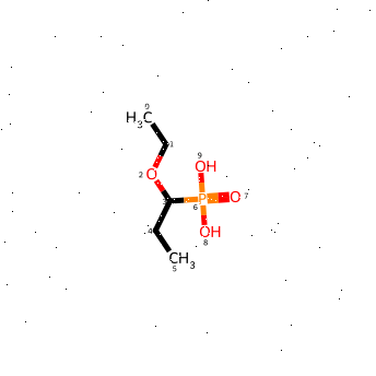 CCOC(CC)P(=O)(O)O